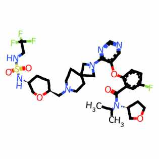 CC(C)N(C(=O)c1cc(F)ccc1Oc1cncnc1N1CC2(CCN(C[C@@H]3CC[C@@H](NS(=O)(=O)NCC(F)(F)F)CO3)CC2)C1)[C@@H]1CCOC1